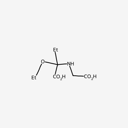 CCOC(CC)(NCC(=O)O)C(=O)O